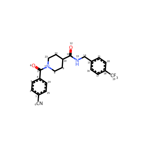 N#Cc1ccc(C(=O)N2CCC(C(=O)NCc3ccc(C(F)(F)F)cc3)CC2)cc1